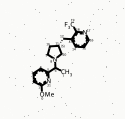 COc1cccc(C(C)N2CC[C@H](Cc3cccnc3C(F)(F)F)C2)n1